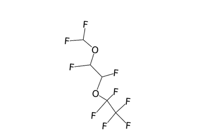 FC(F)OC(F)C(F)OC(F)(F)C(F)(F)F